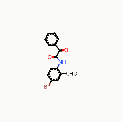 O=Cc1cc(Br)ccc1NC(=O)C(=O)c1ccccc1